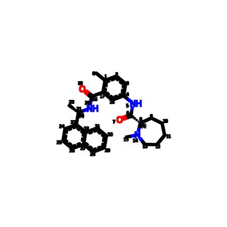 Cc1ccc(NC(=O)[C@@H]2CCCCCN2C)cc1C(=O)N[C@H](C)c1cccc2ccccc12